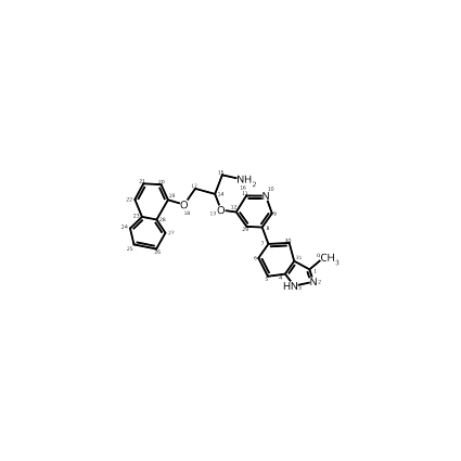 Cc1n[nH]c2ccc(-c3cncc(OC(CN)COc4cccc5ccccc45)c3)cc12